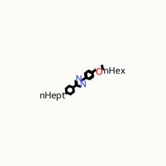 CCCCCCCC1CCC(c2cnc(-c3ccc(COC(C)CCCCCC)cc3)nc2)CC1